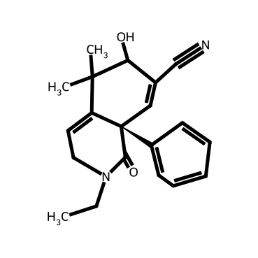 CCN1CC=C2C(C)(C)C(O)C(C#N)=C[C@]2(c2ccccc2)C1=O